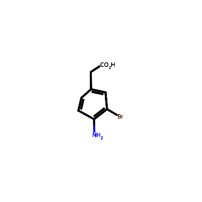 Nc1ccc(CC(=O)O)cc1Br